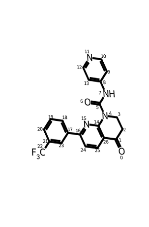 O=C1CCN(C(=O)Nc2ccncc2)c2nc(-c3cccc(C(F)(F)F)c3)ccc21